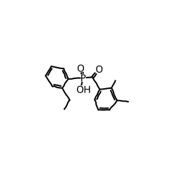 CCc1ccccc1P(=O)(O)C(=O)c1cccc(C)c1C